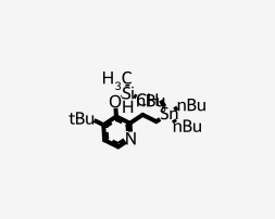 CCC[CH2][Sn]([CH2]CCC)([CH2]CCC)[CH2]Cc1nccc(C(C)(C)C)c1O[SiH](C)C